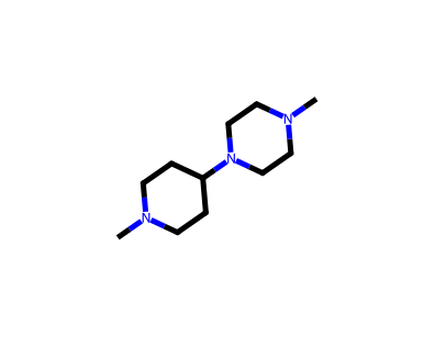 CN1CCC(N2CCN(C)CC2)CC1